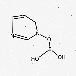 OB(O)ON1C=NC=CC1